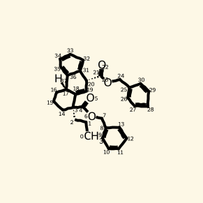 CCC[C@]1(C(=O)OCc2ccccc2)CCC[C@H]2C1=C[C@@H](C(=O)OCc1ccccc1)c1ccccc12